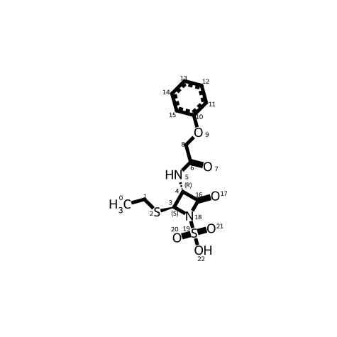 CCS[C@H]1[C@H](NC(=O)COc2ccccc2)C(=O)N1S(=O)(=O)O